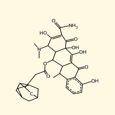 CC1c2cccc(O)c2C(=O)C2=C(O)C3(O)C(=O)C(C(N)=O)=C(O)C(N(C)C)C3C(OC(=O)CC3CC4CC5CC(C4)C3C5)C21